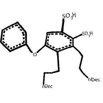 CCCCCCCCCCCCc1c(Oc2ccccc2)cc(S(=O)(=O)O)c(S(=O)(=O)O)c1CCCCCCCCCCCC